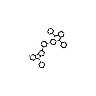 C/C(c1ccccc1)=c1/cccc/c1=C(\c1ccccc1)c1ccc(-c2cccc(-c3ccc4c(c3)c3cnccc3n4-c3ccccc3)c2)cc1